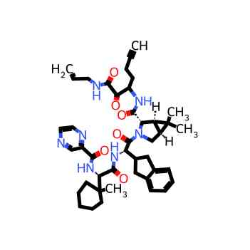 C#CCCC(NC(=O)[C@@H]1[C@@H]2[C@H](CN1C(=O)[C@@H](NC(=O)[C@@H](NC(=O)c1cnccn1)C1(C)CCCCC1)C1Cc3ccccc3C1)C2(C)C)C(=O)C(=O)NCC=C